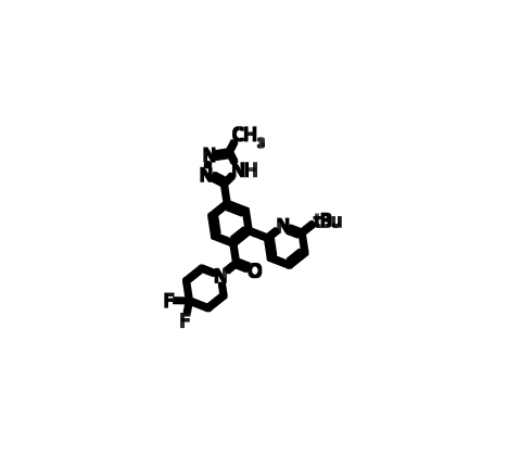 Cc1nnc(-c2ccc(C(=O)N3CCC(F)(F)CC3)c(-c3cccc(C(C)(C)C)n3)c2)[nH]1